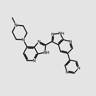 CN1CCN(c2ccnc3[nH]c(-c4n[nH]c5ncc(-c6cncnc6)cc45)nc23)CC1